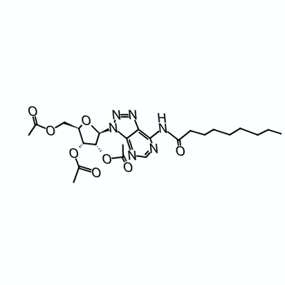 CCCCCCCCC(=O)Nc1ncnc2c1nnn2[C@@H]1O[C@H](COC(C)=O)[C@@H](OC(C)=O)[C@H]1OC(C)=O